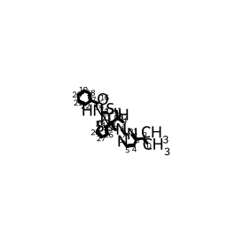 CC(C)c1ccnc(N2C[C@H]3CSC(NC(=O)c4ccccc4)=NC3(c3cccs3)C2)n1